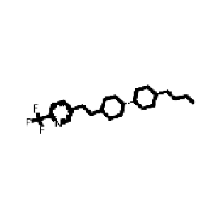 CCCC[C@H]1CC[C@H](C2CCC(CCc3ccc(C(F)(F)F)nc3)CC2)CC1